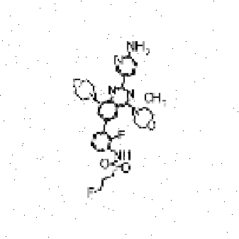 C[C@@H]1COCCN1c1nc(-c2ccc(N)nc2)nc2c(N3CCOCC3)cc(-c3cccc(NS(=O)(=O)CCCF)c3F)cc12